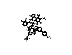 [2H]C1=C(SCc2cccc(F)c2F)N(C([2H])([2H])C(=O)N(Cc2ccc(-c3ccc(C(F)(F)F)cc3)cc2)C2([2H])C([2H])([2H])C([2H])([2H])N(CCOC([2H])([2H])[2H])C([2H])([2H])C2([2H])[2H])c2c([2H])c([2H])c(C)c([2H])c2C1O